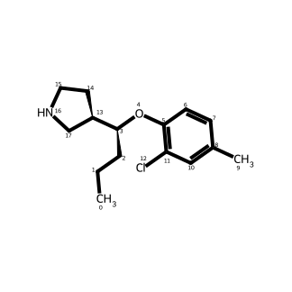 CCC[C@H](Oc1ccc(C)cc1Cl)[C@@H]1CCNC1